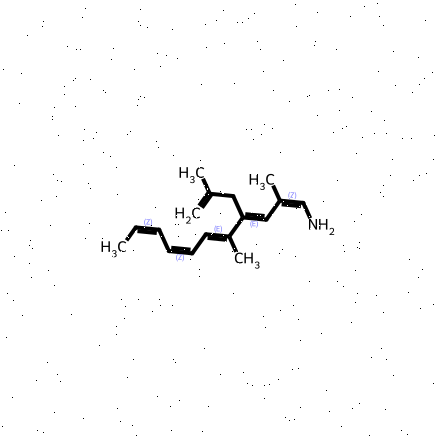 C=C(C)CC(=C\C(C)=C/N)/C(C)=C/C=C\C=C/C